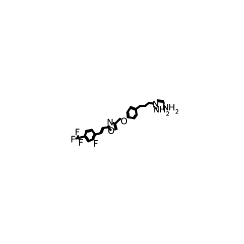 N/C=C\N(N)CCCc1ccc(OCc2coc(/C=C/c3ccc(C(F)(F)F)cc3F)n2)cc1